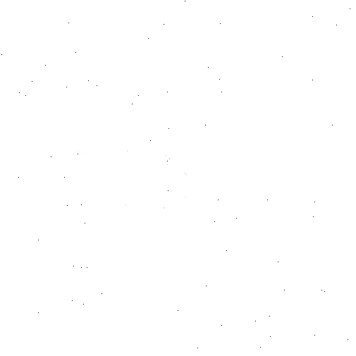 CSc1ccc2c(c1)Nc1cc(C)ccc1C2